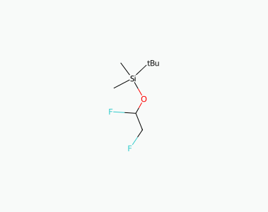 CC(C)(C)[Si](C)(C)OC(F)CF